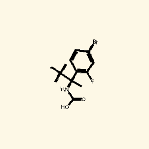 CC(C)(C)C(C)(NC(=O)O)c1ccc(Br)cc1F